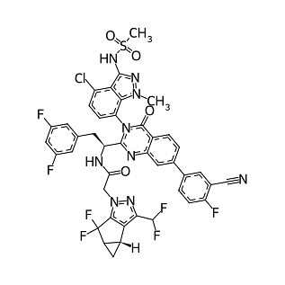 Cn1nc(NS(C)(=O)=O)c2c(Cl)ccc(-n3c([C@H](Cc4cc(F)cc(F)c4)NC(=O)Cn4nc(C(F)F)c5c4C(F)(F)C4C[C@@H]54)nc4cc(-c5ccc(F)c(C#N)c5)ccc4c3=O)c21